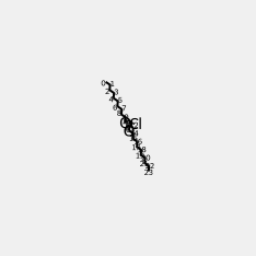 CCCCCCCCCCOP(Cl)OCCCCCCCCCC